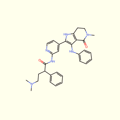 CN(C)CCC(C(=O)Nc1cc(-c2[nH]c3c(c2Nc2ccccc2)C(=O)N(C)CC3)ccn1)c1ccccc1